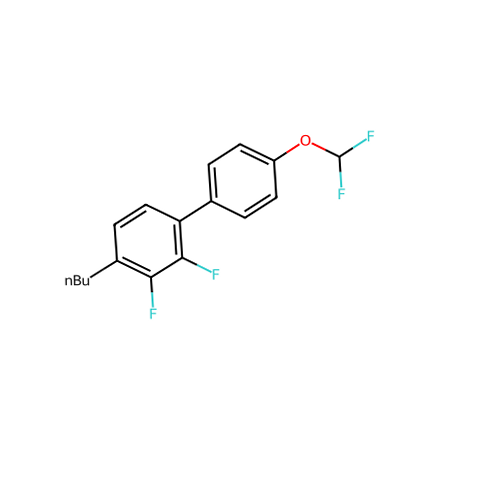 CCCCc1ccc(-c2ccc(OC(F)F)cc2)c(F)c1F